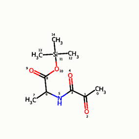 CC(=O)C(=O)NC(C)C(=O)O[Si](C)(C)C